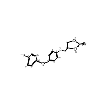 CC(C)C1OCC(COc2ccc(Oc3ccc(F)cc3)cc2)O1